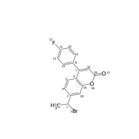 CC(Br)c1ccc2c(-c3ccc(F)cc3)cc(=O)oc2c1